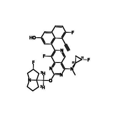 [2H]C([2H])(Oc1nc(N(C)[C@H]2C[C@@H]2F)c2cnc(-c3cc(O)cc4ccc(F)c(C#C)c34)c(F)c2n1)C12CCCN1CC(F)C2